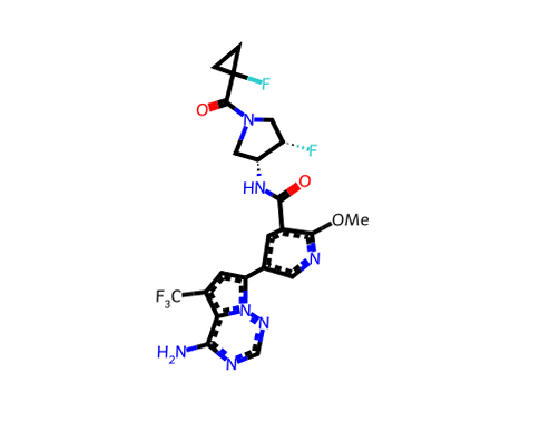 COc1ncc(-c2cc(C(F)(F)F)c3c(N)ncnn23)cc1C(=O)N[C@@H]1CN(C(=O)C2(F)CC2)C[C@@H]1F